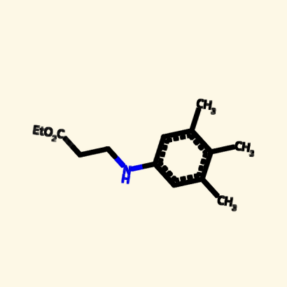 CCOC(=O)CCNc1cc(C)c(C)c(C)c1